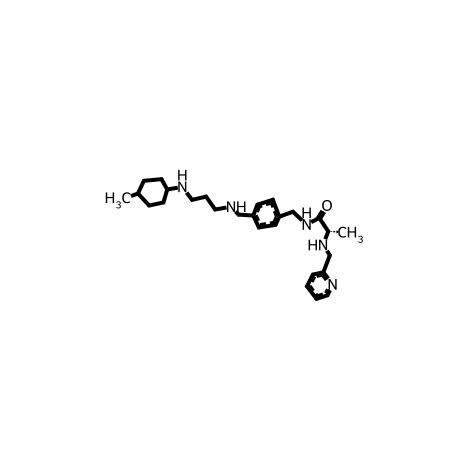 CC1CCC(NCCCNCc2ccc(CNC(=O)[C@H](C)NCc3ccccn3)cc2)CC1